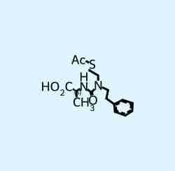 CC(=O)SCCN(CCc1ccccc1)C(=O)N[C@@H](C)C(=O)O